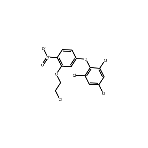 O=[N+]([O-])c1ccc(Oc2c(Cl)cc(Cl)cc2Cl)cc1OCCCl